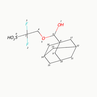 O=S(=O)(O)C(F)(F)COC(O)C12CC3CC(CC(C3)C1)C2